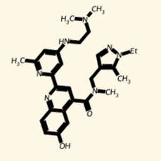 CCn1ncc(CN(C)C(=O)c2cc(-c3cc(NCCN(C)C)cc(C)n3)nc3ccc(O)cc23)c1C